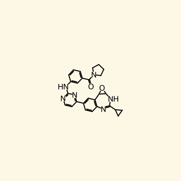 O=C(c1cccc(Nc2nccc(-c3ccc4c(c3)C3OC3NC(C3CC3)=N4)n2)c1)N1CCCC1